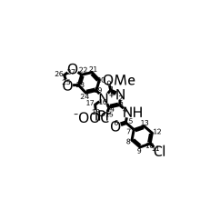 COC1=NC(NC(=O)c2ccc(Cl)cc2)=C(C(=O)[O-])[N+]1(CC(C)C)c1ccc2c(c1)OCO2